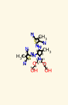 Cc1cc(N(CCOCCO)CCOCCO)c(/N=N/c2sc(C#N)c(C)c2C#N)cc1/N=N/c1sc(C#N)c(C)c1C#N